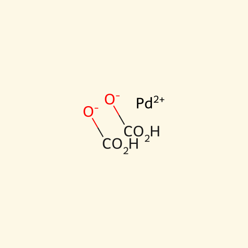 O=C([O-])O.O=C([O-])O.[Pd+2]